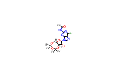 CC(C)C(=O)Nc1nc(Cl)c2ncn([C@@H]3O[C@@H]4CO[Si](C(C)C)(C(C)C)O[Si](C(C)C)(C(C)C)O[C@H]4C3=O)c2n1